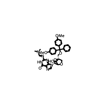 COc1ccc(C(OC[C@]23COC(C2O)[C@H](n2cnc4c(=O)[nH]c(N=CN(C)C)nc42)O3)(c2ccccc2)c2ccc(OC)cc2)cc1